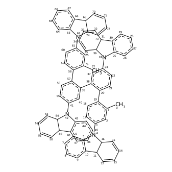 Cc1cc(N2c3ccccc3C3C=CC=CC32)ccc1-c1ccc(N2c3ccccc3C3C=CC=CC32)cc1-c1cc(N2c3ccccc3C3C=CC=CC32)ccc1-c1ccc(N2c3ccccc3C3C=CC=CC32)cc1C